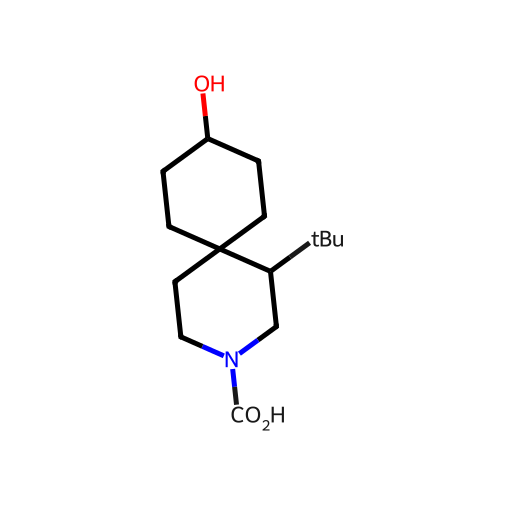 CC(C)(C)C1CN(C(=O)O)CCC12CCC(O)CC2